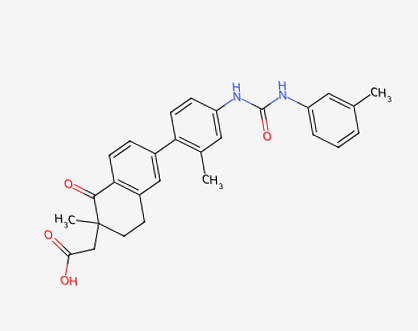 Cc1cccc(NC(=O)Nc2ccc(-c3ccc4c(c3)CCC(C)(CC(=O)O)C4=O)c(C)c2)c1